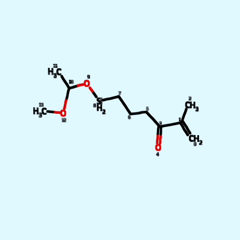 C=C(C)C(=O)CCC[SiH2]OC(C)OC